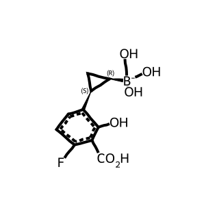 O=C(O)c1c(F)ccc([C@H]2C[C@H]2[B-](O)(O)O)c1O